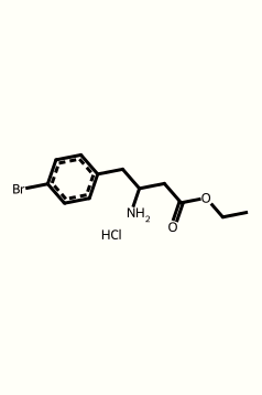 CCOC(=O)CC(N)Cc1ccc(Br)cc1.Cl